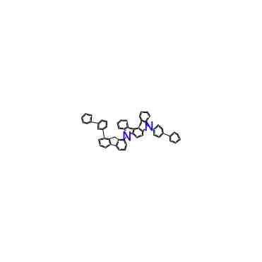 c1ccc(-c2ccc(-n3c4ccccc4c4c5c6ccccc6n(-c6cccc7c6Cc6c(-c8cccc(-c9ccccc9)c8)cccc6-7)c5ccc43)cc2)cc1